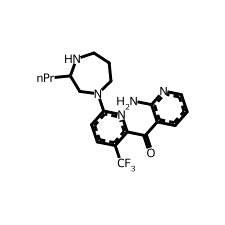 CCCC1CN(c2ccc(C(F)(F)F)c(C(=O)c3cccnc3N)n2)CCCN1